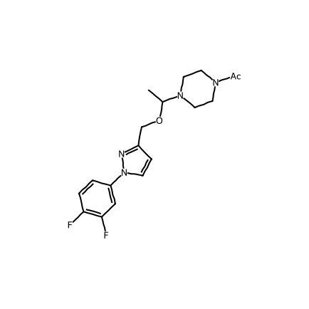 CC(=O)N1CCN(C(C)OCc2ccn(-c3ccc(F)c(F)c3)n2)CC1